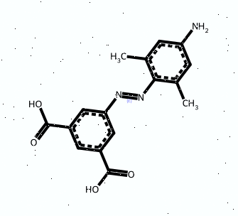 Cc1cc(N)cc(C)c1/N=N/c1cc(C(=O)O)cc(C(=O)O)c1